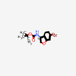 CC(C)(C)OC(=O)N[C@@H]1COc2cc(Br)ccc21